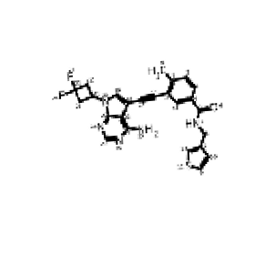 Cc1ccc(C(=O)NCc2ccsc2)cc1C#Cc1cn(C2CC(F)(F)C2)c2ncnc(N)c12